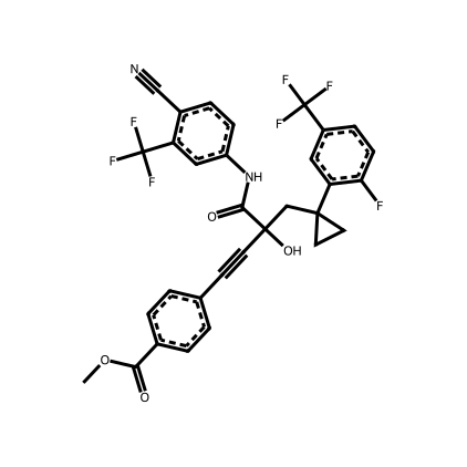 COC(=O)c1ccc(C#CC(O)(CC2(c3cc(C(F)(F)F)ccc3F)CC2)C(=O)Nc2ccc(C#N)c(C(F)(F)F)c2)cc1